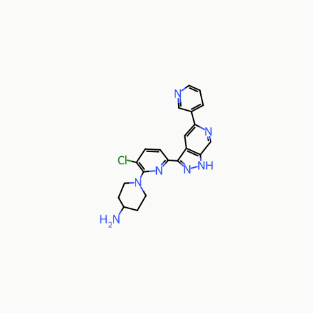 NC1CCN(c2nc(-c3n[nH]c4cnc(-c5cccnc5)cc34)ccc2Cl)CC1